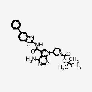 CC(C)(C)OC(=O)N1CCC(n2cc(C(=O)Nc3nc4cc(-c5ccccc5)ccc4o3)c3c(N)ncnc32)C1